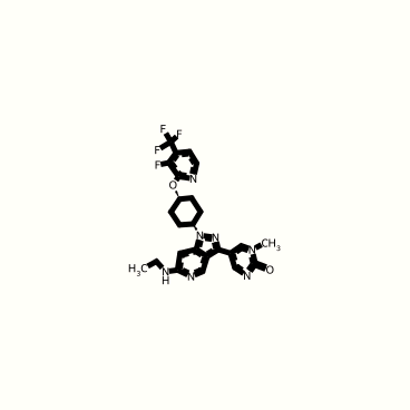 CCNc1cc2c(cn1)c(-c1cnc(=O)n(C)c1)nn2[C@H]1CC[C@@H](Oc2nccc(C(F)(F)F)c2F)CC1